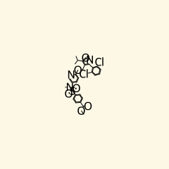 COC(=O)c1ccc(S(=O)(=O)N(C)c2ccc(OCc3c(-c4c(Cl)cccc4Cl)noc3C(C)C)nc2)cc1